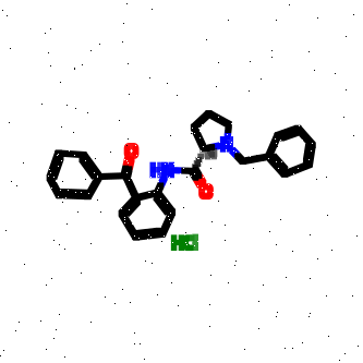 Cl.O=C(c1ccccc1)c1ccccc1NC(=O)[C@@H]1CCCN1Cc1ccccc1